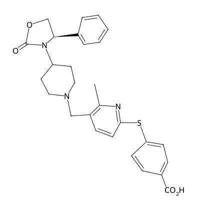 Cc1nc(Sc2ccc(C(=O)O)cc2)ccc1CN1CCC(N2C(=O)OC[C@H]2c2ccccc2)CC1